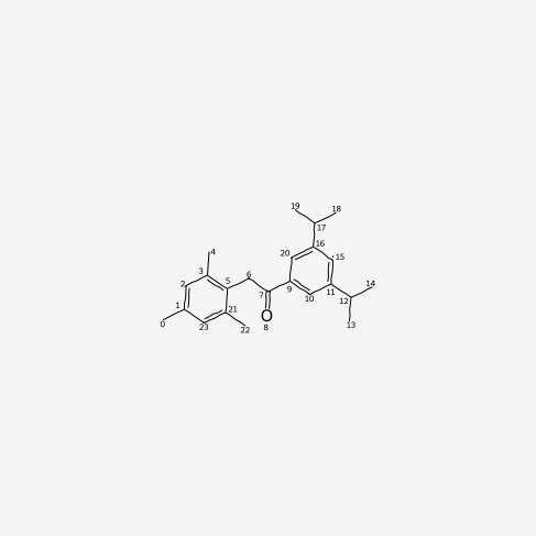 Cc1cc(C)c(CC(=O)c2cc(C(C)C)[c]c(C(C)C)c2)c(C)c1